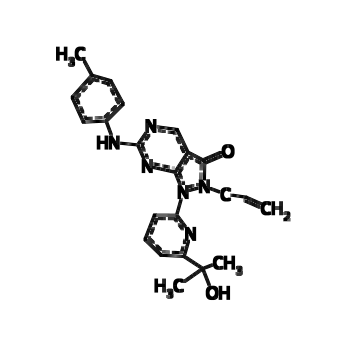 C=CCn1c(=O)c2cnc(Nc3ccc(C)cc3)nc2n1-c1cccc(C(C)(C)O)n1